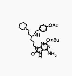 CCCCOc1nc(N)c2[nH]c(=O)n(CCCC(CCN3CCCCC3)NCc3ccc(OC(C)=O)cc3)c2n1